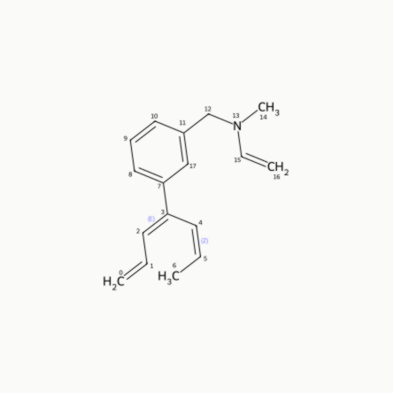 C=C/C=C(\C=C/C)c1cccc(CN(C)C=C)c1